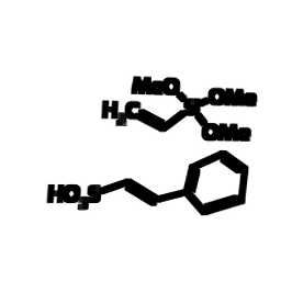 C=C[Si](OC)(OC)OC.O=S(=O)(O)C=Cc1ccccc1